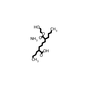 CCCCC(CCCCC(CCCC)C(=O)OCCO)C(=O)O.N